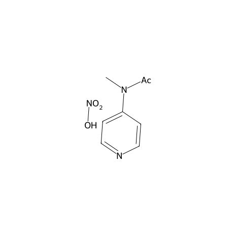 CC(=O)N(C)c1ccncc1.O=[N+]([O-])O